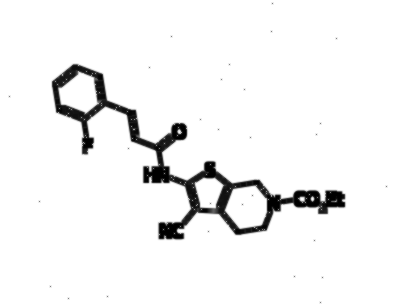 CCOC(=O)N1CCc2c(sc(NC(=O)C=Cc3ccccc3F)c2C#N)C1